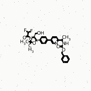 CC(NC(=O)OCc1ccccc1)c1ccc(-c2ccc([C@H]3OC(C)(C)N(C(=O)C(F)F)[C@H]3CO)cc2)cn1